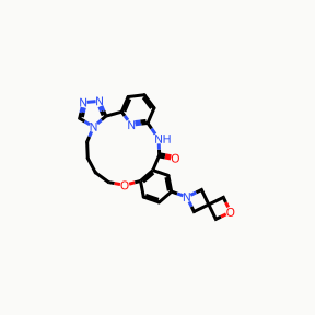 O=C1Nc2cccc(n2)-c2nncn2CCCCOc2ccc(N3CC4(COC4)C3)cc21